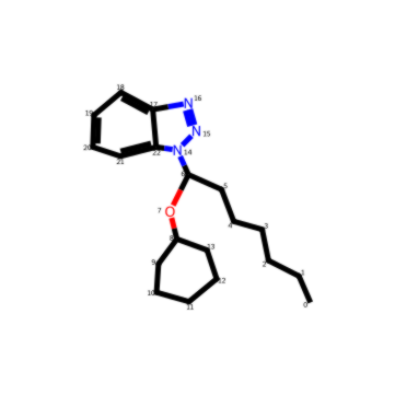 CCCCCCC(OC1CCCCC1)n1nnc2ccccc21